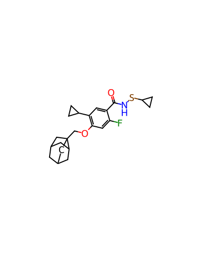 O=C(NSC1CC1)c1cc(C2CC2)c(OCC23CC4CC(CC2C4)C3)cc1F